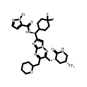 CCn1nccc1C(=O)N[C@H](c1cn2nc(C[C@H]3C[C@@H](C(F)(F)F)CNC3=O)c(CC3CCCCO3)nc2n1)C1CCC(F)(F)CC1